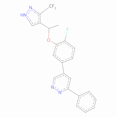 CC(Oc1cc(-c2cnnc(-c3ccccc3)c2)ccc1F)c1c[nH]nc1C(F)(F)F